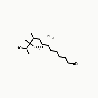 CCCCCCCCCCCCCCCCCCC(C)C(C)(C(=O)O)C(C)O.N